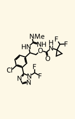 CNC(=N)NC(COC(=O)NC1(C(F)F)CC1)c1ccc(Cl)c(-c2ncnn2C(F)F)c1